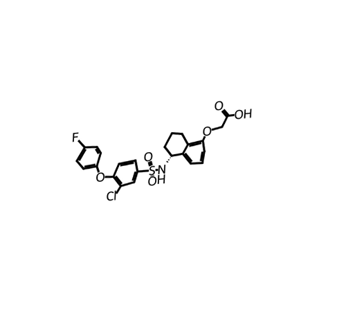 O=C(O)COc1cccc2c1CCC[C@H]2NS(=O)(=O)c1ccc(Oc2ccc(F)cc2)c(Cl)c1